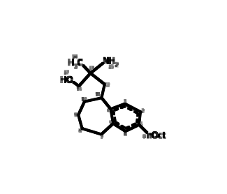 CCCCCCCCc1ccc2c(c1)CCCCC2CC(C)(N)CO